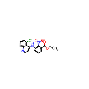 CCOC(=O)c1cccc(Nc2ccnc3cccc(Cl)c23)c1[N+](=O)[O-]